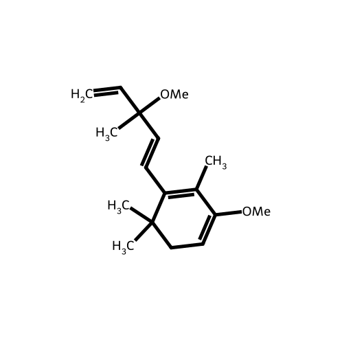 C=CC(C)(/C=C/C1=C(C)C(OC)=CCC1(C)C)OC